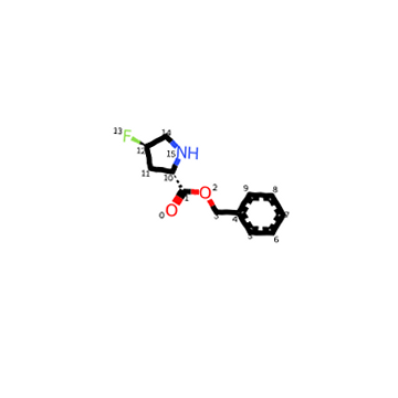 O=C(OCc1ccccc1)[C@@H]1C[C@@H](F)CN1